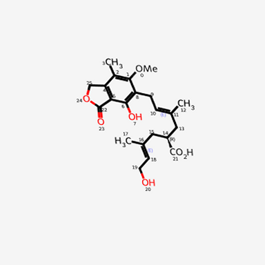 COc1c(C)c2c(c(O)c1C/C=C(\C)C[C@H](C/C(C)=C/CO)C(=O)O)C(=O)OC2